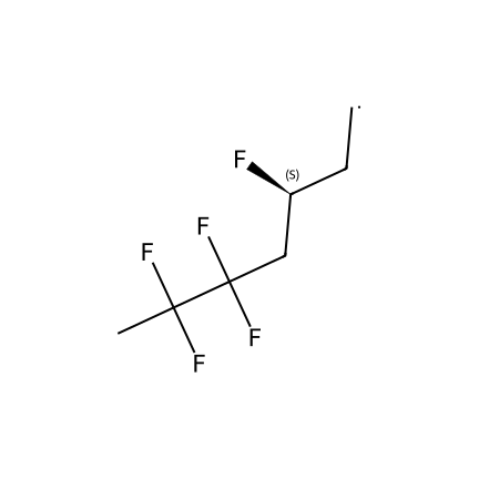 [CH2]C[C@H](F)CC(F)(F)C(C)(F)F